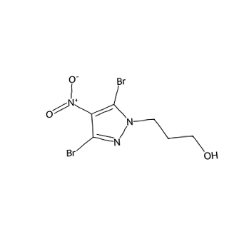 O=[N+]([O-])c1c(Br)nn(CCCO)c1Br